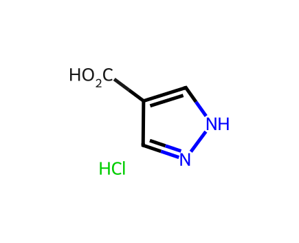 Cl.O=C(O)c1cn[nH]c1